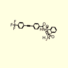 NS(=O)(=O)c1ccccc1S(=O)(=O)NC(=O)c1ccc(C#Cc2ccc(C(F)(F)F)cc2)cc1